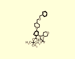 CC(C)(C)OC(=O)c1ccc(N2CCC(COCc3ccccc3)CC2)cc1N(C(=O)C(F)(F)F)C1CCOCC1